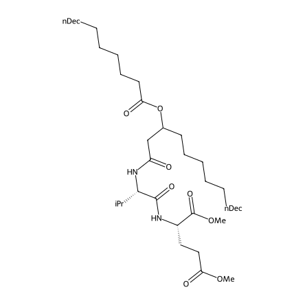 CCCCCCCCCCCCCCCC(=O)OC(CCCCCCCCCCCCCCC)CC(=O)N[C@H](C(=O)N[C@@H](CCC(=O)OC)C(=O)OC)C(C)C